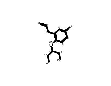 C=CCc1cc(C)ccc1OC(CC)CC